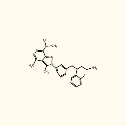 Cc1nnc(N(C)C)c2nn(-c3cccc(OC(CCN)c4ccccc4F)c3)c(C)c12